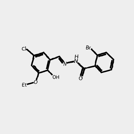 CCOc1cc(Cl)cc(C=NNC(=O)c2ccccc2Br)c1O